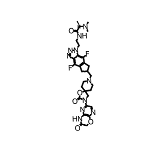 C[C@H](C(=O)NCCn1nnc2c(F)c3c(c(F)c21)CC(CN1CCC2(CC1)CN(c1cnc4c(n1)NC(=O)CO4)C(=O)O2)C3)N(C)C